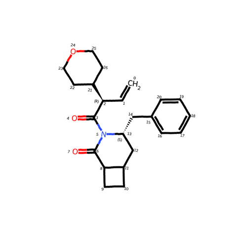 C=C[C@@H](C(=O)N1C(=O)C2CCC2C[C@H]1Cc1ccccc1)C1CCOCC1